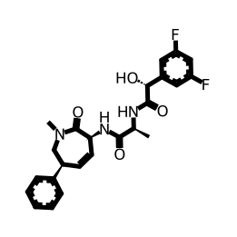 C[C@H](NC(=O)[C@H](O)c1cc(F)cc(F)c1)C(=O)N[C@H]1C=C[C@@H](c2ccccc2)CN(C)C1=O